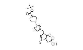 CC(C)(C)OC(=O)N1CCC(c2nc(/C=C3\SC(=S)N(CC(=O)O)C3=O)cs2)CC1